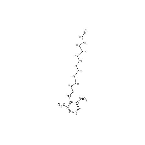 O=[N+]([O-])c1cccc([N+](=O)[O-])c1OCCCCCCCCCCCCBr